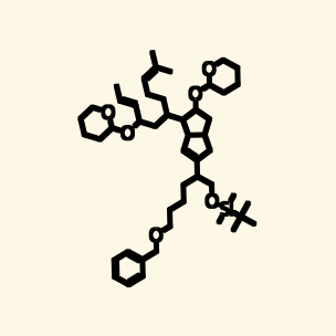 CC=CC(CC(CCC=C(C)C)C1C(OC2CCCCO2)CC2CC(C(CCCCOCc3ccccc3)CO[Si](C)(C)C(C)(C)C)=CC21)OC1CCCCO1